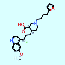 COc1ccc2nccc([C@@H](F)CC[C@@H]3CCN(CCCCc4ccco4)C[C@@H]3C(=O)O)c2c1